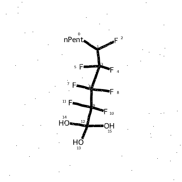 CCCCCC(F)C(F)(F)C(F)(F)C(F)(F)C(O)(O)O